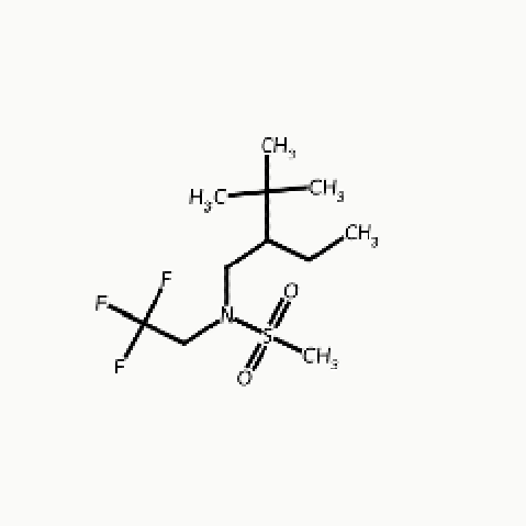 CCC(CN(CC(F)(F)F)S(C)(=O)=O)C(C)(C)C